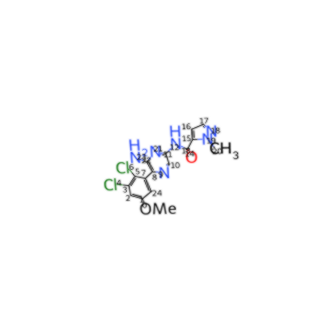 COc1cc(Cl)c(Cl)c(-c2ncc(NC(=O)c3ccnn3C)nc2N)c1